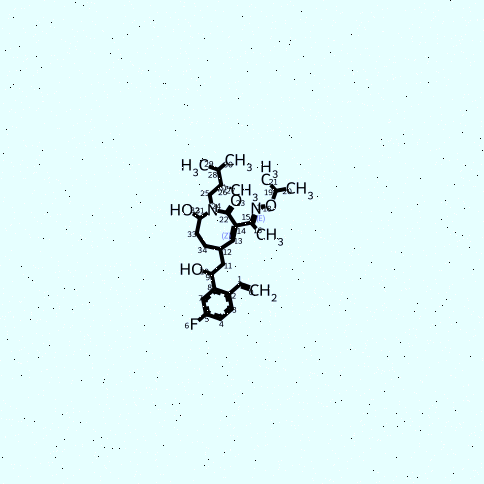 C=Cc1ccc(F)cc1C(O)CC1/C=C(/C(C)=N/OC(C)C)C(=O)N(C[C@@H](C)C(C)C)C(O)CC1